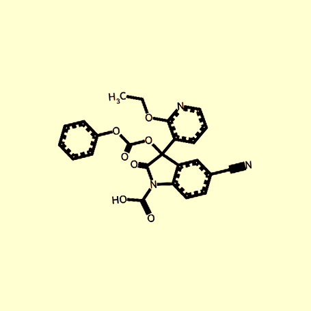 CCOc1ncccc1C1(OC(=O)Oc2ccccc2)C(=O)N(C(=O)O)c2ccc(C#N)cc21